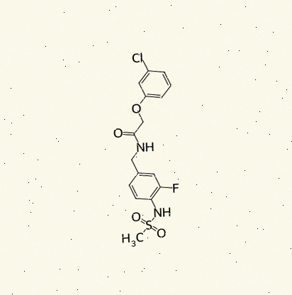 CS(=O)(=O)Nc1ccc(CNC(=O)COc2cccc(Cl)c2)cc1F